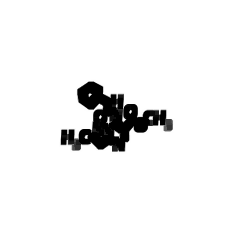 COC(=O)c1cnc2cc(C)nn2c1NC(=O)Cc1ccccc1